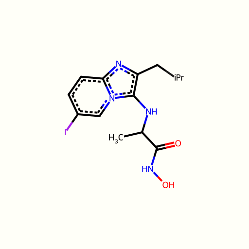 CC(C)Cc1nc2ccc(I)cn2c1NC(C)C(=O)NO